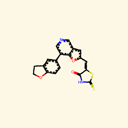 O=C1NC(=S)SC1=Cc1cc2cncc(-c3ccc4c(c3)CCO4)c2o1